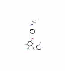 Cc1nc(F)ccc1Oc1c(C(=O)Nc2cccc([S@@+]([O-])N(C)C(=O)C(C)(C)N)c2)cc(Cl)c(C(F)(F)F)c1C(C)(C)C